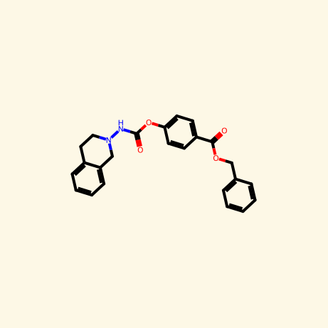 O=C(NN1CCc2ccccc2C1)Oc1ccc(C(=O)OCc2ccccc2)cc1